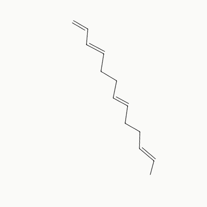 C=CC=CCCC=CCCC=CC